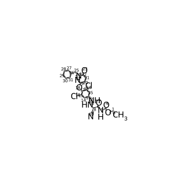 CCOC(=O)NC(=O)C(C#N)NNc1cc(Cl)c(Oc2ccc(=O)n(Cc3ccccc3)n2)c(Cl)c1